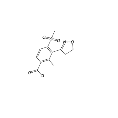 Cc1c(C(=O)Cl)ccc(S(C)(=O)=O)c1C1=NOCC1